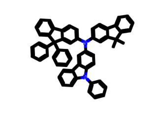 CC1(C)c2ccccc2-c2ccc(N(c3ccc4c(c3)C(c3ccccc3)(c3ccccc3)c3ccccc3-4)c3ccc4c(c3)c3ccccc3n4-c3ccccc3)cc21